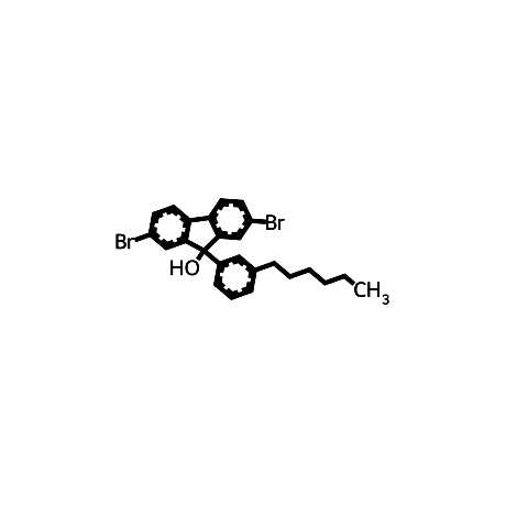 CCCCCCc1cccc(C2(O)c3cc(Br)ccc3-c3ccc(Br)cc32)c1